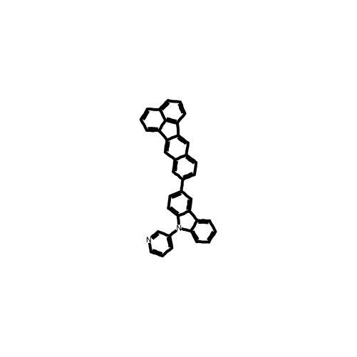 c1cncc(-n2c3ccccc3c3cc(-c4ccc5cc6c(cc5c4)-c4cccc5cccc-6c45)ccc32)c1